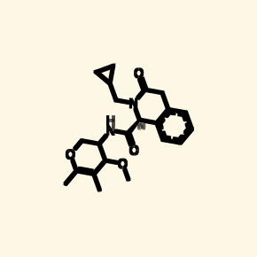 COC1C(C)=C(C)OCC1NC(=O)[C@@H]1c2ccccc2CC(=O)N1CC1CC1